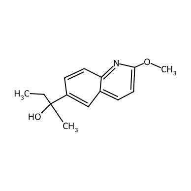 CCC(C)(O)c1ccc2nc(OC)ccc2c1